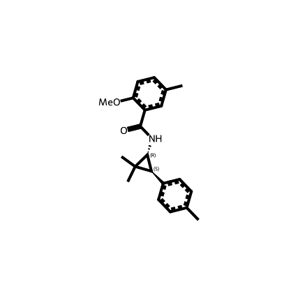 COc1ccc(C)cc1C(=O)N[C@@H]1[C@@H](c2ccc(C)cc2)C1(C)C